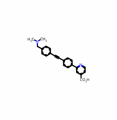 CN(C)Cc1ccc(C#Cc2ccc(-c3cc(C(=O)O)ccn3)cc2)cc1